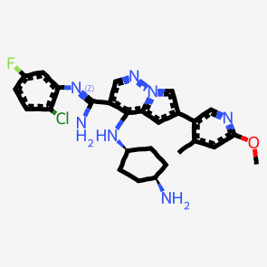 COc1cc(C)c(-c2cc3c(N[C@H]4CC[C@@H](N)CC4)c(/C(N)=N/c4cc(F)ccc4Cl)cnn3c2)cn1